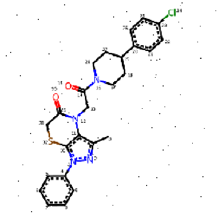 Cc1nn(-c2ccccc2)c2c1N(CC(=O)N1CCC(c3ccc(Cl)cc3)CC1)C(=O)CS2